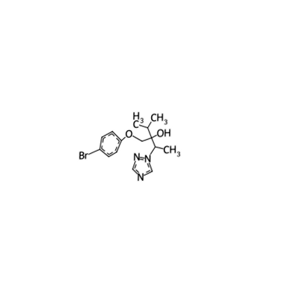 CC(C)C(O)(COc1ccc(Br)cc1)C(C)n1cncn1